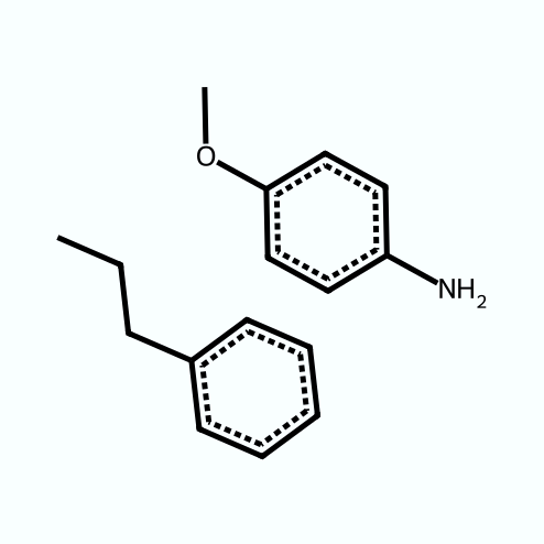 CCCc1ccccc1.COc1ccc(N)cc1